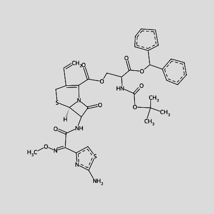 C=CC1=C(C(=O)OCC(NC(=O)OC(C)(C)C)C(=O)OC(c2ccccc2)c2ccccc2)N2C(=O)C(NC(=O)/C(=N\OC)c3csc(N)n3)[C@H]2SC1